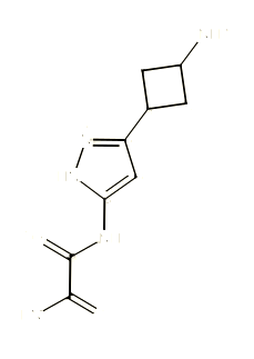 CC(=O)NC1CC(c2cc(NC(=O)C(N)=O)[nH]n2)C1